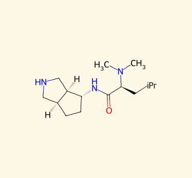 CC(C)C[C@@H](C(=O)N[C@@H]1CC[C@H]2CNC[C@H]21)N(C)C